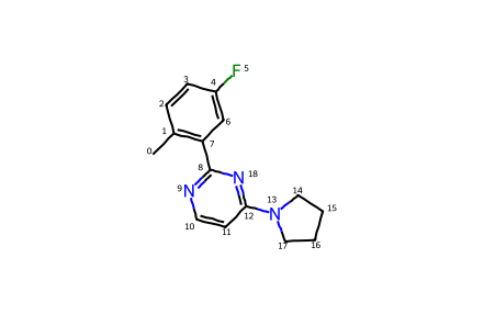 Cc1ccc(F)cc1-c1nccc(N2CCCC2)n1